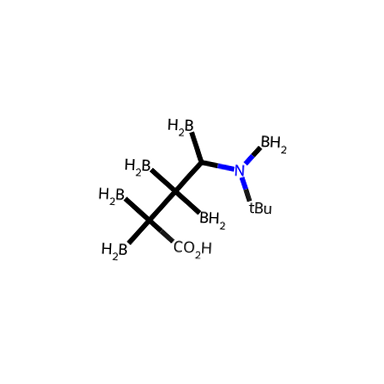 BC(N(B)C(C)(C)C)C(B)(B)C(B)(B)C(=O)O